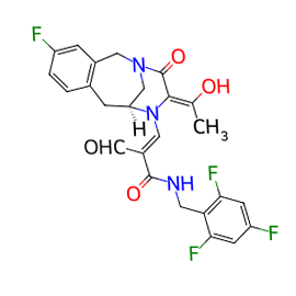 C/C(O)=C1/C(=O)N2Cc3cc(F)ccc3C[C@@H](C2)N1/C=C(\C=O)C(=O)NCc1c(F)cc(F)cc1F